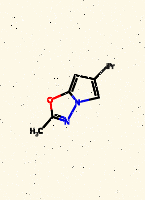 Cc1nn2cc(C(C)C)cc2o1